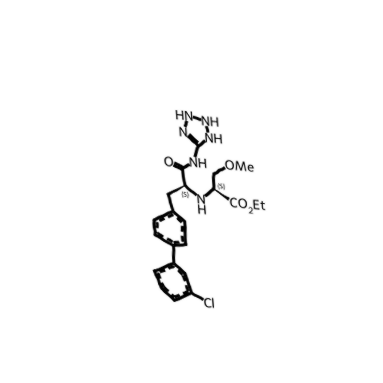 CCOC(=O)[C@H](COC)N[C@@H](Cc1ccc(-c2cccc(Cl)c2)cc1)C(=O)NC1=NNNN1